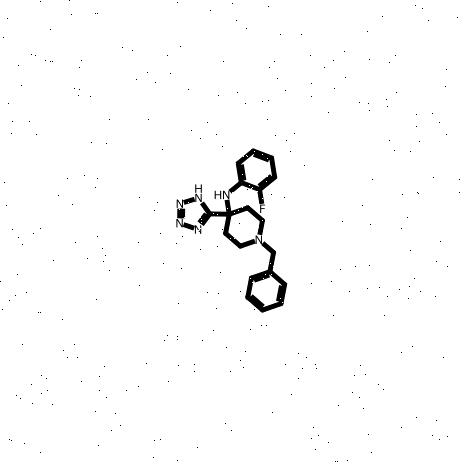 Fc1ccccc1NC1(c2nnn[nH]2)CCN(Cc2ccccc2)CC1